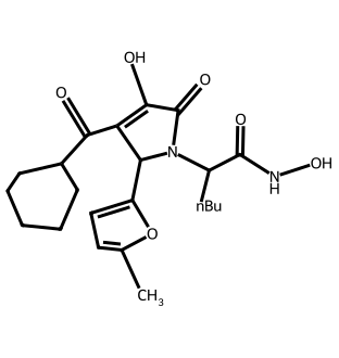 CCCCC(C(=O)NO)N1C(=O)C(O)=C(C(=O)C2CCCCC2)C1c1ccc(C)o1